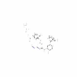 O[C@@H](c1cccc(-c2nnn[nH]2)c1)[C@@H](/C=C/C=C\CCCCCCCCC(F)(F)F)SCCc1nnn[nH]1